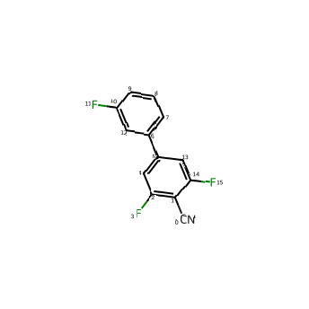 N#Cc1c(F)cc(-c2cccc(F)c2)cc1F